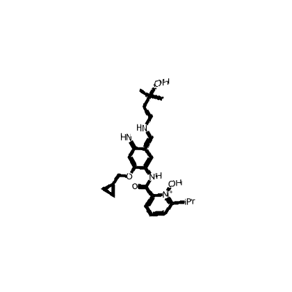 CC(C)c1cccc(C(=O)NC2=C/C(=C/NCCC(C)(C)O)C(=N)C=C2OCC2CC2)[n+]1O